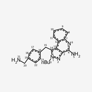 CCCCn1nc2c(N)nc3ccccc3c2c1Cc1ccc(CN)cc1